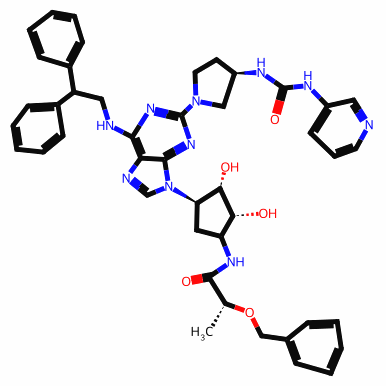 C[C@@H](OCc1ccccc1)C(=O)NC1C[C@@H](n2cnc3c(NCC(c4ccccc4)c4ccccc4)nc(N4CC[C@@H](NC(=O)Nc5cccnc5)C4)nc32)[C@H](O)[C@@H]1O